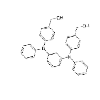 OCc1ccc(N(c2ccccc2)c2cccc(N(c3ccccc3)c3ccc(CO)cc3)c2)cc1